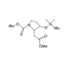 COC(=O)CC1C(O[Si](C)(C)C(C)(C)C)CCN1C(=O)OC(C)(C)C